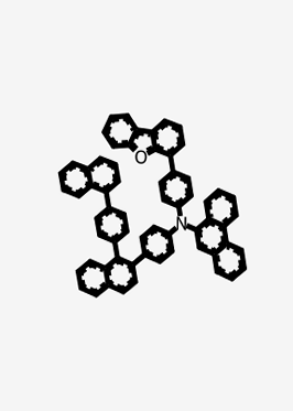 c1ccc2c(-c3ccc(-c4c(-c5ccc(N(c6ccc(-c7cccc8c7oc7ccccc78)cc6)c6cc7ccccc7c7ccccc67)cc5)ccc5ccccc45)cc3)cccc2c1